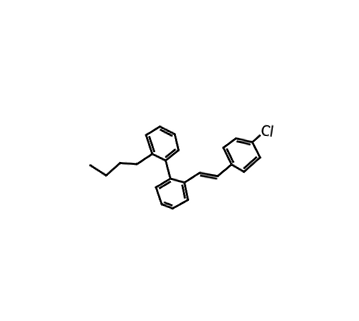 CCCCc1ccccc1-c1ccccc1C=Cc1ccc(Cl)cc1